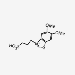 COc1cc2sc[n+](CCCS(=O)(=O)O)c2cc1OC